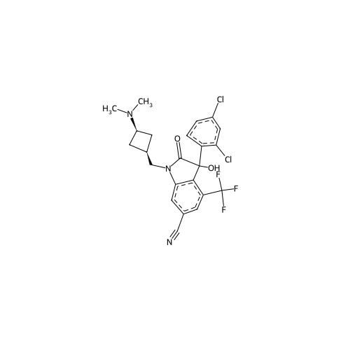 CN(C)[C@H]1C[C@@H](CN2C(=O)C(O)(c3ccc(Cl)cc3Cl)c3c2cc(C#N)cc3C(F)(F)F)C1